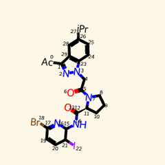 CC(=O)c1nn(CC(=O)N2CCC[C@H]2C(=O)NC2N=C(Br)C=CC2I)c2ccc(C(C)C)cc12